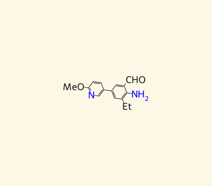 CCc1cc(-c2ccc(OC)nc2)cc(C=O)c1N